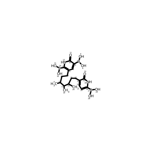 CC(CCc1cc(B(O)O)c(=O)[nH]c1B(O)O)C(C)C(C)CCc1ccc(B(O)O)[nH]c1=O